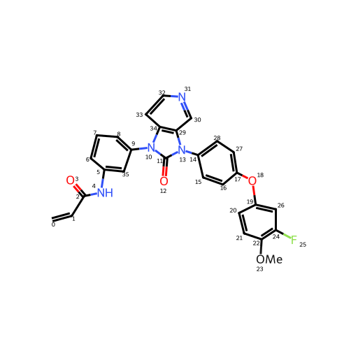 C=CC(=O)Nc1cccc(-n2c(=O)n(-c3ccc(Oc4ccc(OC)c(F)c4)cc3)c3cnccc32)c1